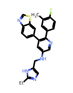 CCc1ncc(CNc2cnc(-c3ccc(F)c(C)c3)c(-c3ccc4ncsc4c3)c2)[nH]1